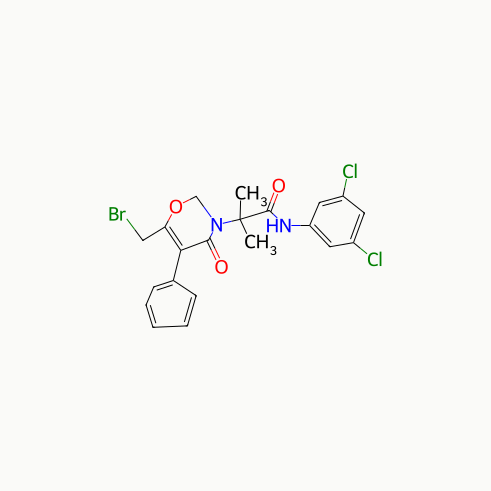 CC(C)(C(=O)Nc1cc(Cl)cc(Cl)c1)N1COC(CBr)=C(c2ccccc2)C1=O